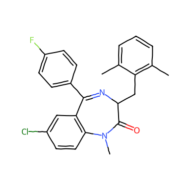 Cc1cccc(C)c1CC1N=C(c2ccc(F)cc2)c2cc(Cl)ccc2N(C)C1=O